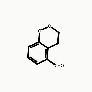 O=Cc1cccc2c1CCOO2